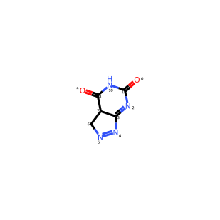 O=C1N=C2N=NCC2C(=O)N1